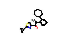 C=C(C(=O)c1csc(C2CC2)n1)c1ccccc1C1CCCCCC1